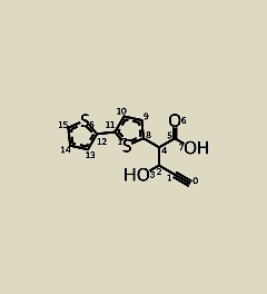 C#CC(O)C(C(=O)O)c1ccc(-c2cc[c]s2)s1